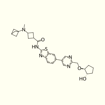 CN(C1CC(C(=O)Nc2nc3ccc(-c4cnc(CO[C@H]5CCC[C@@H]5O)nc4)cc3s2)C1)C12CC(C1)C2